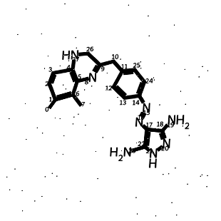 Cc1ccc2c(c1C)N=C(Cc1ccc(N=Nc3c(N)n[nH]c3N)cc1)CN2